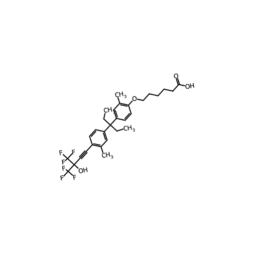 CCC(CC)(c1ccc(C#CC(O)(C(F)(F)F)C(F)(F)F)c(C)c1)c1ccc(OCCCCCC(=O)O)c(C)c1